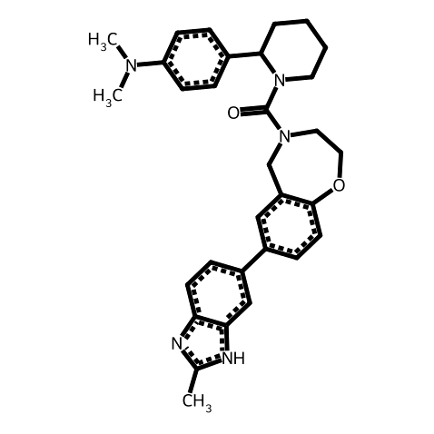 Cc1nc2ccc(-c3ccc4c(c3)CN(C(=O)N3CCCCC3c3ccc(N(C)C)cc3)CCO4)cc2[nH]1